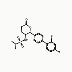 CC(C)S(=O)(=O)NC1CCC(=O)OC1c1ccc(-c2ccc(F)cc2F)cc1